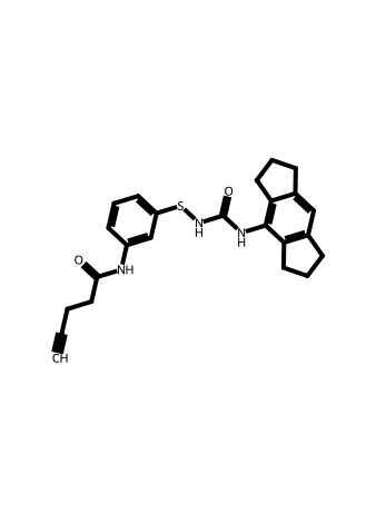 C#CCCC(=O)Nc1cccc(SNC(=O)Nc2c3c(cc4c2CCC4)CCC3)c1